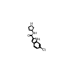 O=C(NC1CCNC1)c1cc2ccc(Cl)cc2[nH]1